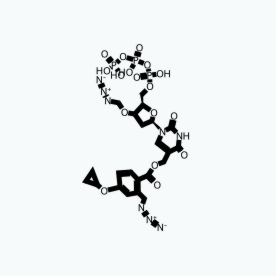 [N-]=[N+]=NCOC1C[C@H](n2cc(COC(=O)c3ccc(OC4CC4)cc3CN=[N+]=[N-])c(=O)[nH]c2=O)O[C@@H]1COP(=O)(O)OP(=O)(O)OP(=O)(O)O